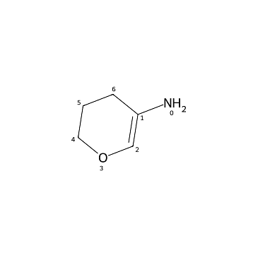 NC1=COCCC1